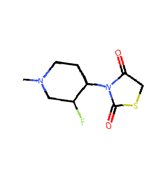 CN1CCC(N2C(=O)CSC2=O)C(F)C1